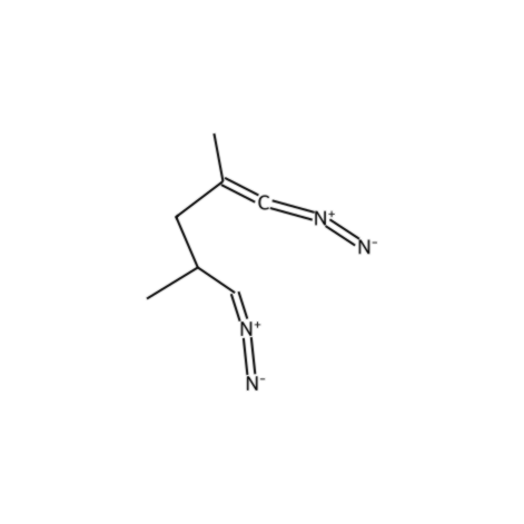 CC(=C=[N+]=[N-])CC(C)C=[N+]=[N-]